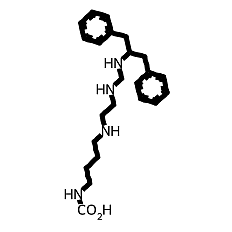 O=C(O)NCCCCNCCNCNC(Cc1ccccc1)Cc1ccccc1